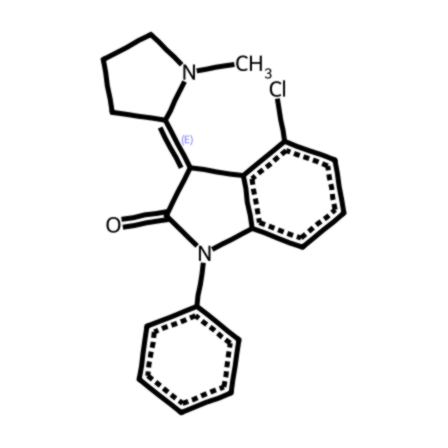 CN1CCC/C1=C1\C(=O)N(c2ccccc2)c2cccc(Cl)c21